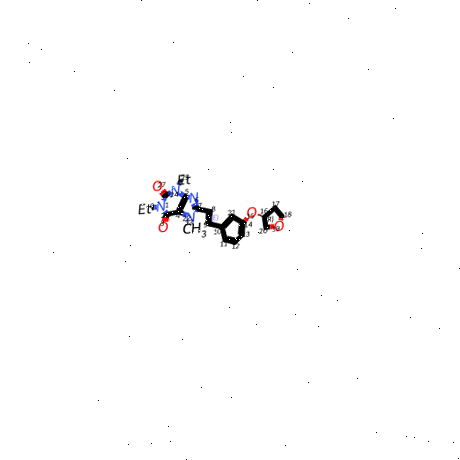 CCn1c(=O)c2c(nc(/C=C/c3cccc(O[C@@H]4CCOC4)c3)n2C)n(CC)c1=O